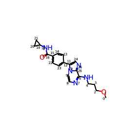 COCCCNc1nccn2c(-c3ccc(C(=O)NC4CC4)cc3)cnc12